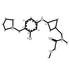 COCC(=O)N(C)CC1CC(Oc2ccc(CN3CCCC3)c(Cl)c2)C1